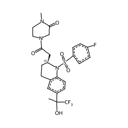 CN1CCN(C(=O)C[C@@H]2CCc3cc(C(C)(O)C(F)(F)F)ccc3N2S(=O)(=O)c2ccc(F)cc2)CC1=O